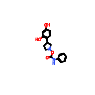 O=C(Nc1ccccc1)ON1CCC(c2ccc(O)cc2O)C1